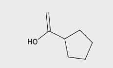 C=C(O)C1CCCC1